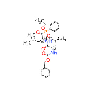 CCOP(=O)(C(=O)[C@H](CC(C)C)NC(=O)[C@H](CC(C)C)NC(=O)OCc1ccccc1)c1ccccc1